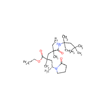 CCOC(=O)C(C)(CC(C)N1CCCC1=O)CC(C)(CC)C(=O)NC(C)(C)CC(C)(C)C